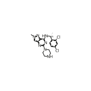 C[C@@H](Nc1nc(N2CCNCC2)nc2cn(C)nc12)c1ccc(Cl)cc1Cl